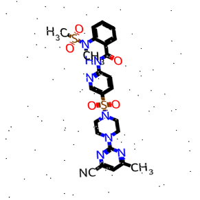 Cc1cc(C#N)nc(N2CCN(S(=O)(=O)c3ccc(NC(=O)c4ccccc4N(C)S(C)(=O)=O)nc3)CC2)n1